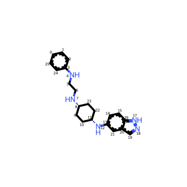 c1ccc(NCCN[C@H]2CC[C@@H](Nc3ccc4[nH]ncc4c3)CC2)cc1